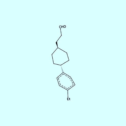 CCc1ccc([C@H]2CC[C@H](CCC=O)CC2)cc1